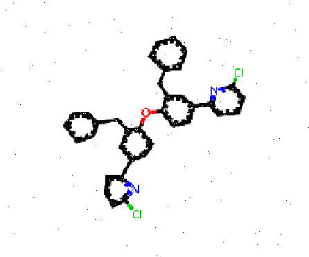 Clc1cccc(-c2ccc(Oc3ccc(-c4cccc(Cl)n4)cc3Cc3ccccc3)c(Cc3ccccc3)c2)n1